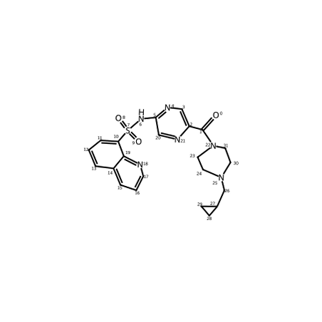 O=C(c1cnc(NS(=O)(=O)c2cccc3cccnc23)cn1)N1CCN(CC2CC2)CC1